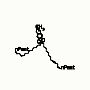 CCCCC/C=C\CC#CCCCCCCCCC1(CCCCCCCC/C=C\C/C=C\CCCCC)Oc2cc3c(cc2O1)CN(C)C3